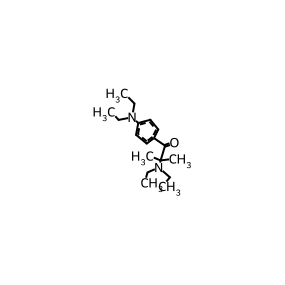 CCN(CC)c1ccc(C(=O)C(C)(C)N(CC)CC)cc1